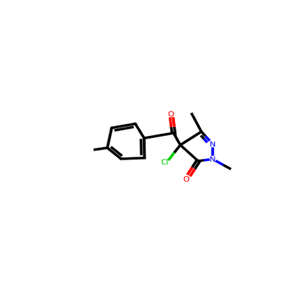 CC1=NN(C)C(=O)C1(Cl)C(=O)c1ccc(C)cc1